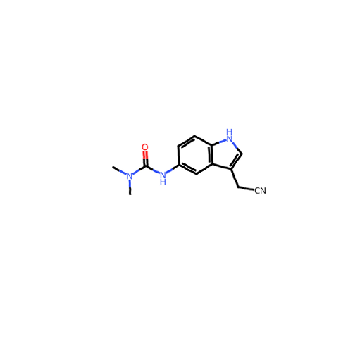 CN(C)C(=O)Nc1ccc2[nH]cc(CC#N)c2c1